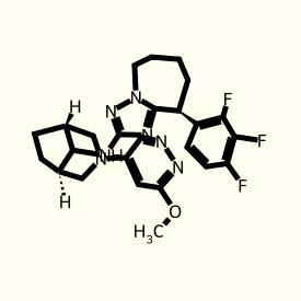 COc1cc(N2C[C@H]3CC[C@H](C2)C3Nc2nc3n(n2)CCCC[C@H]3c2ccc(F)c(F)c2F)cnn1